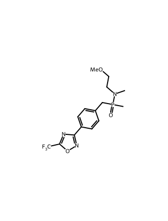 COCCN(C)P(C)(=O)Cc1ccc(-c2noc(C(F)(F)F)n2)cc1